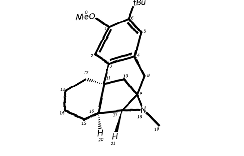 COc1cc2c(cc1C(C)(C)C)CC13C[C@]24CCCC[C@@H]4[C@H]1N3C